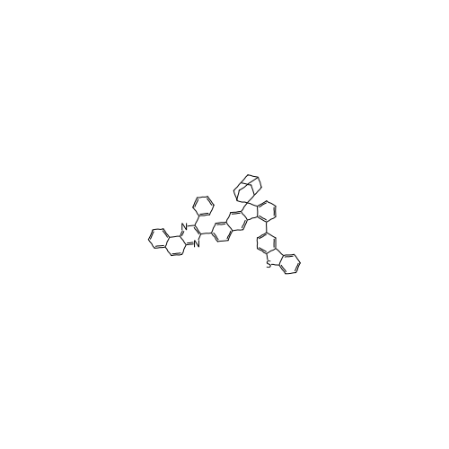 c1ccc(-c2nc3c(ccc4ccccc43)nc2-c2ccc3cc4c(cc3c2)C2(c3cccc(-c5ccc6sc7ccccc7c6c5)c3-4)C3CC4CC(C3)CC2C4)cc1